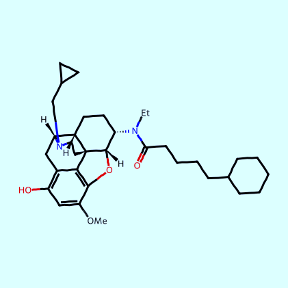 CCN(C(=O)CCCCC1CCCCC1)[C@H]1CC[C@H]2[C@H]3Cc4c(O)cc(OC)c5c4[C@@]2(CCN3CC2CC2)[C@H]1O5